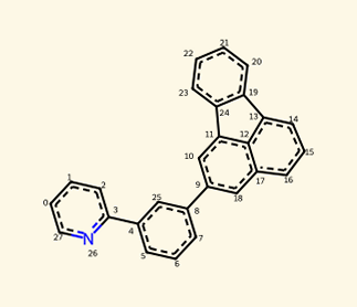 c1ccc(-c2cccc(-c3cc4c5c(cccc5c3)-c3ccccc3-4)c2)nc1